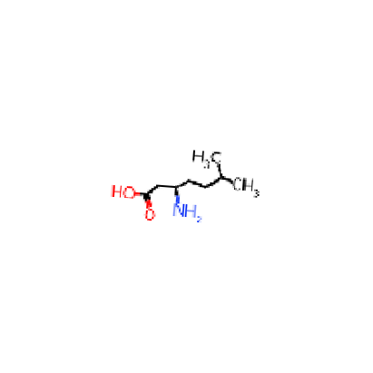 CC(C)CCC(N)CC(=O)O